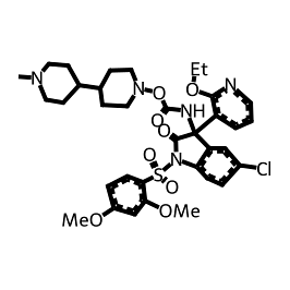 CCOc1ncccc1C1(NC(=O)ON2CCC(C3CCN(C)CC3)CC2)C(=O)N(S(=O)(=O)c2ccc(OC)cc2OC)c2ccc(Cl)cc21